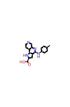 Cc1ccc(Nc2nc3cnccc3c3[nH]c(C(=O)O)cc23)cc1